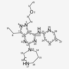 CCOCCn1nc(CC)c2nc(N3CCCNCC3)nc(Nc3ccc(C)cn3)c21